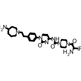 CC(C)C(N)C(=O)N1CCN(C(=O)Nc2ccn(-c3ccc(CCN4CCCC(N)CC4)cc3)c(=O)n2)CC1